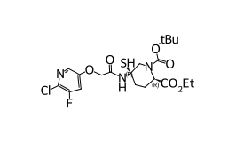 CCOC(=O)[C@H]1CC[C@](S)(NC(=O)COc2cnc(Cl)c(F)c2)CN1C(=O)OC(C)(C)C